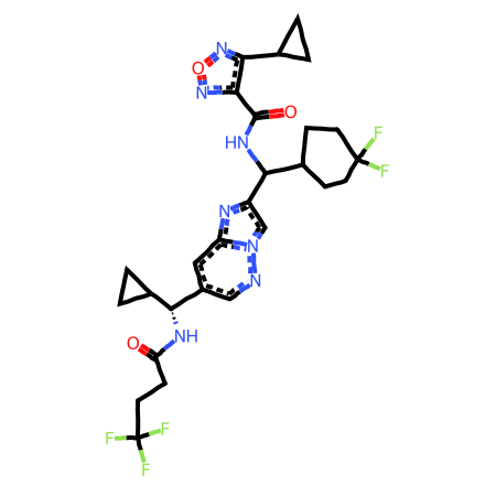 O=C(CCC(F)(F)F)N[C@@H](c1cnn2cc(C(NC(=O)c3nonc3C3CC3)C3CCC(F)(F)CC3)nc2c1)C1CC1